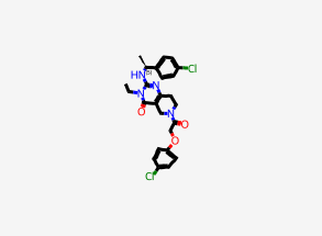 CCn1c(N[C@@H](C)c2ccc(Cl)cc2)nc2c(c1=O)CN(C(=O)COc1ccc(Cl)cc1)CC2